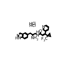 Cl.Cl.N[C@H](CNC(=O)C=C(c1cccnc1)C1(C(F)(F)F)CC1)Cc1ccc2[nH]ncc2c1